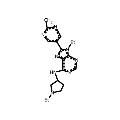 CCN1CCC(Nc2ncnc3c2nc(-c2cnc(C)nc2)n3CC)C1